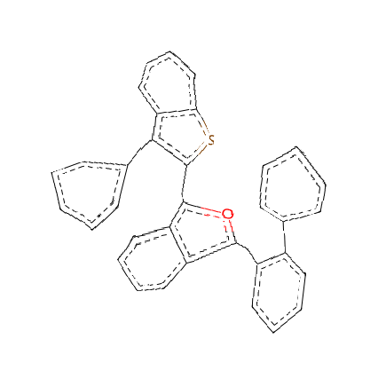 c1ccc(-c2ccccc2-c2oc(-c3sc4ccccc4c3-c3ccccc3)c3ccccc23)cc1